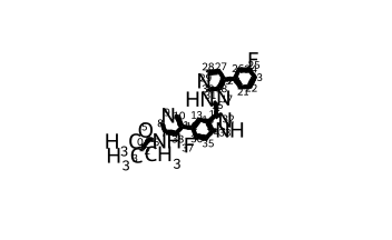 CC(C)(C)C(=O)Nc1cncc(-c2cc3c(-c4nc5c(-c6cccc(F)c6)ccnc5[nH]4)n[nH]c3cc2F)c1